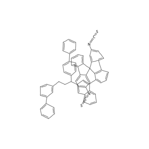 S=C=Nc1ccc2c(c1)C1(c3ccccc3-2)c2cc(N=C=S)ccc2-c2cccc(-c3cc(C(CCc4cccc(-c5ccccc5)c4)c4ccc(-c5ccccc5)cc4)cc4ccccc34)c21